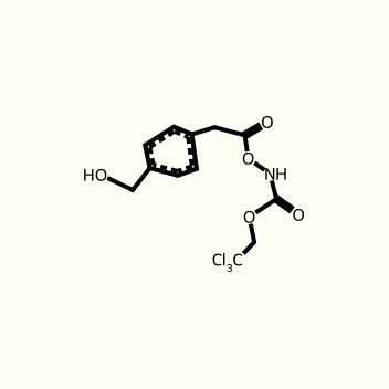 O=C(Cc1ccc(CO)cc1)ONC(=O)OCC(Cl)(Cl)Cl